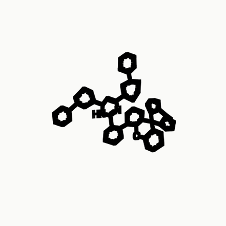 C1=C(c2cccc(-c3ccccc3)c2)N=C(c2ccccc2-c2cccc3c2Oc2ccccc2C32c3ccccc3-c3ccccc32)NC1c1cccc(-c2ccccc2)c1